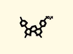 Cc1ccc(-c2cc(C)nc3c2ccc2c(-c4ccc(S(=O)(=O)O)cc4)cc(C)nc23)cc1